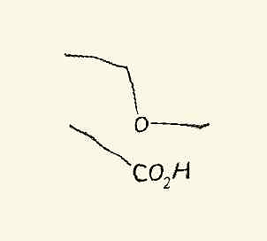 CC(=O)O.CCOC